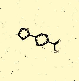 O=C(O)c1ccc(-c2[c]ccs2)cc1